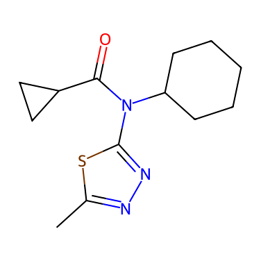 Cc1nnc(N(C(=O)C2CC2)C2CCCCC2)s1